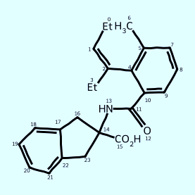 CC/C=C(/CC)c1c(C)cccc1C(=O)NC1(C(=O)O)Cc2ccccc2C1